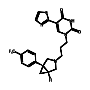 O=c1[nH]c(=O)n(CCCN2C[C@@H]3C[C@]3(c3ccc(C(F)(F)F)cc3)C2)cc1-c1nccs1